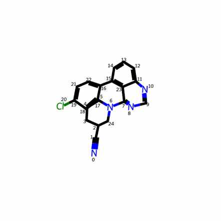 N#CC1CCCN(c2ncnc3cccc(-c4ccc(Cl)cc4)c23)C1